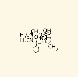 CN(C)C(=O)N(C)CC1(c2ccccc2)CCNCC1.Cc1ccc(S(=O)(=O)O)cc1